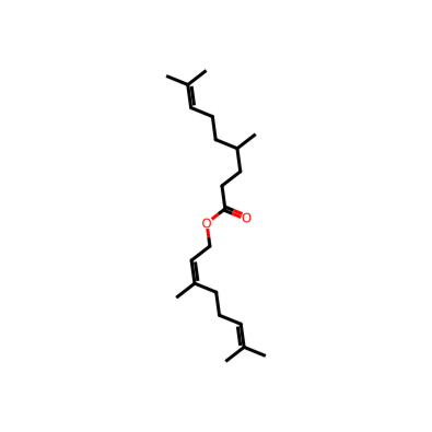 CC(C)=CCC/C(C)=C\COC(=O)CCC(C)CCC=C(C)C